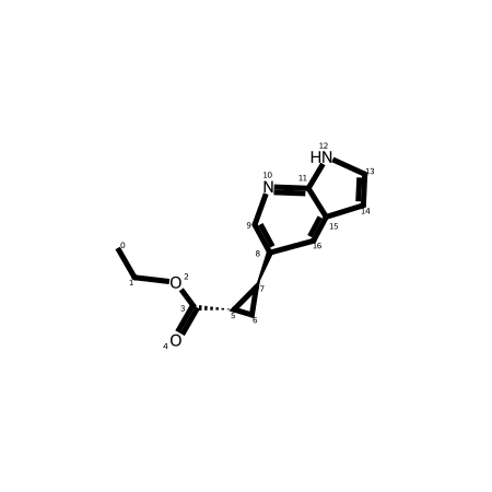 CCOC(=O)[C@H]1C[C@@H]1c1cnc2[nH]ccc2c1